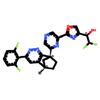 O[C@H](c1coc(-c2cncc([C@]34CC[C@H](C3)c3cc(-c5c(F)cccc5F)nnc34)n2)n1)C(F)F